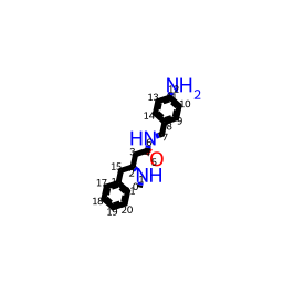 CNC(CC(=O)NCc1ccc(N)cc1)Cc1ccccc1